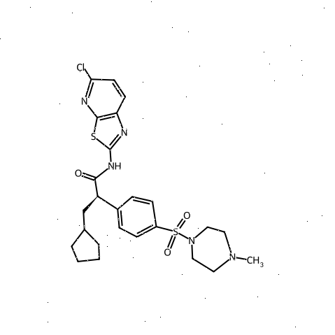 CN1CCN(S(=O)(=O)c2ccc([C@@H](CC3CCCC3)C(=O)Nc3nc4ccc(Cl)nc4s3)cc2)CC1